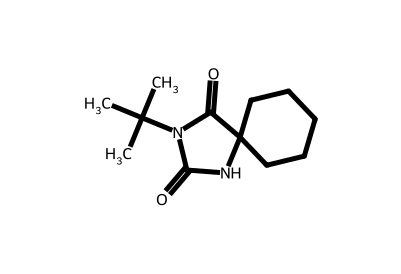 CC(C)(C)N1C(=O)NC2(CCCCC2)C1=O